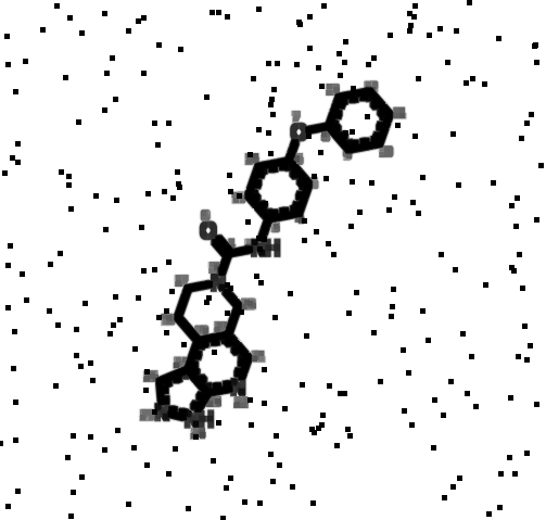 O=C(Nc1ccc(Oc2ccccc2)cc1)N1CCc2c(cnc3[nH]ncc23)C1